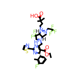 CCOC(=O)C1=C(CN2CC(F)(F)[C@H]3[C@@H]2CN(CC(F)(F)F)N3CCC(C)(C)C(=O)O)NC(c2nccs2)=N[C@H]1c1cccc(F)c1C